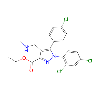 CCOC(=O)c1nn(-c2ccc(Cl)cc2Cl)c(-c2ccc(Cl)cc2)c1CNC